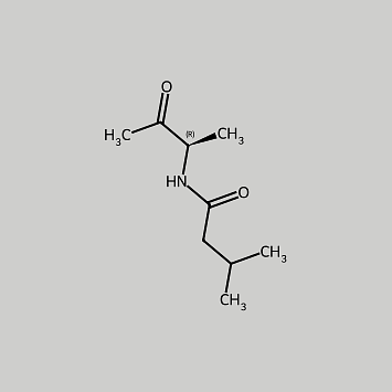 CC(=O)[C@@H](C)NC(=O)CC(C)C